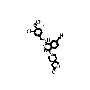 COc1ccc(CNc2nnc(N3CCC4(CC3)COC(=O)C4)c3ccc(C#N)cc23)cc1Cl